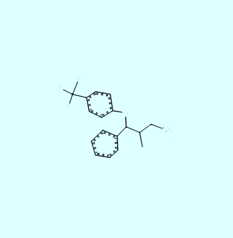 CC(CN)C(Oc1ccc(C(F)(F)F)cc1)c1ccccc1